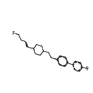 FCCC=CC1CCC(CCc2ccc(-c3ccc(F)cc3)cc2)CC1